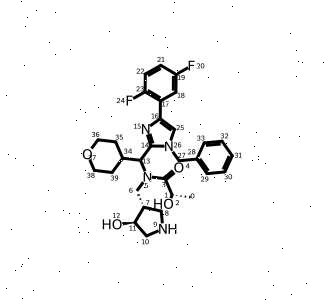 C[C@H](O)C(=O)N(C[C@@H]1CNC[C@H]1O)C(c1nc(-c2cc(F)ccc2F)cn1Cc1ccccc1)C1CCOCC1